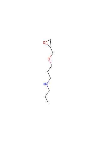 [CH2]CCNCCCOCC1CO1